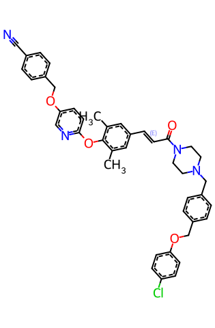 Cc1cc(/C=C/C(=O)N2CCN(Cc3ccc(COc4ccc(Cl)cc4)cc3)CC2)cc(C)c1Oc1ccc(OCc2ccc(C#N)cc2)cn1